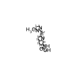 Cc1ccnc([C@H]2C[C@@H]2c2ccc3ccc(NC(=O)O)cc3n2)n1